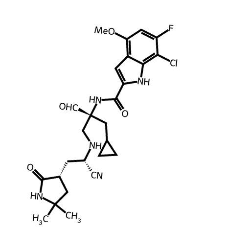 COc1cc(F)c(Cl)c2[nH]c(C(=O)N[C@@](C=O)(CN[C@H](C#N)C[C@@H]3CC(C)(C)NC3=O)CC3CC3)cc12